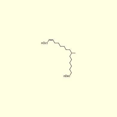 CCCCCCCC/C=C\CCCCCCC(C)CCCCCCCCCCCCCCCC